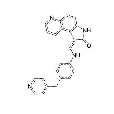 O=C1Nc2ccc3ncccc3c2C1=CNc1ccc(Cc2ccncc2)cc1